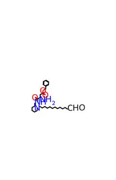 NC(CC(=O)OCc1ccccc1)C(=O)NCC1CCCCN1CCCCCCCCCCCCC=O